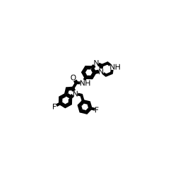 O=C(Nc1ccc2nc3n(c2c1)CCNC3)c1cc2cc(F)ccc2n1Cc1cccc(F)c1